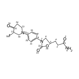 NC(=O)CCC1CN(c2ccc(N3CCC(=O)C(F)C3)cc2)C(=O)O1